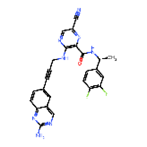 C[C@H](NC(=O)c1nc(C#N)cnc1NCC#Cc1ccc2nc(N)ncc2c1)c1ccc(F)c(F)c1